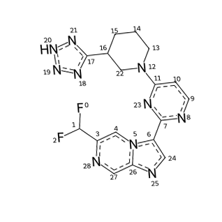 FC(F)c1cn2c(-c3nccc(N4CCCC(c5nn[nH]n5)C4)n3)cnc2cn1